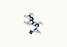 CC[C@H](CNC1CCC1)n1cc(C)c2nc(-c3ccc(C(C)C)nc3OC)c(C)nc21